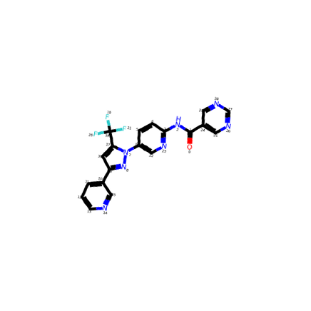 O=C(Nc1ccc(-n2nc(-c3cccnc3)cc2C(F)(F)F)cn1)c1cncnc1